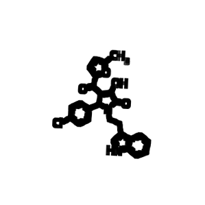 Cc1ccc(C(=O)C2=C(O)C(=O)N(CCc3c[nH]c4ccccc34)C2c2ccc(Cl)cc2)o1